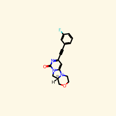 O=c1nc(C#Cc2cccc(F)c2)cc2n1C[C@H]1COCCN21